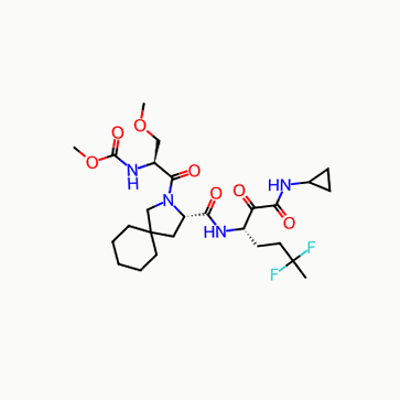 COC[C@H](NC(=O)OC)C(=O)N1CC2(CCCCC2)C[C@H]1C(=O)N[C@@H](CCC(C)(F)F)C(=O)C(=O)NC1CC1